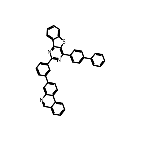 c1ccc(-c2ccc(-c3nc(-c4cccc(-c5ccc6c(c5)ncc5ccccc56)c4)nc4c3sc3ccccc34)cc2)cc1